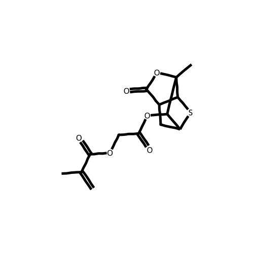 C=C(C)C(=O)OCC(=O)OC1C2CC3C(=O)OC1(C)C3S2